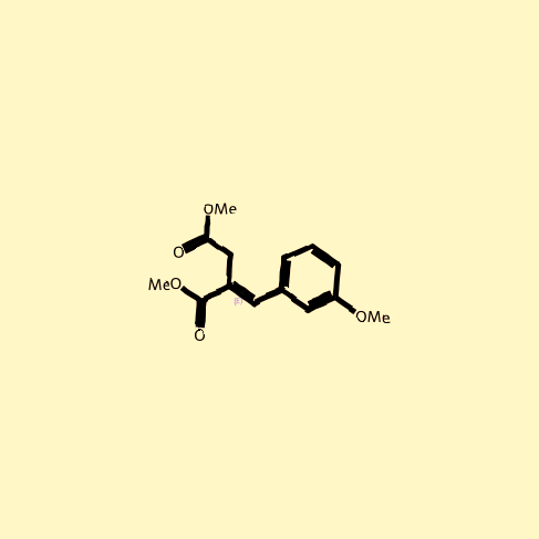 COC(=O)C/C(=C\c1cccc(OC)c1)C(=O)OC